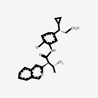 C[C@H]([C@H](C(=O)Nc1cc([C@@H](CC(=O)O)C2CC2)ccc1Cl)c1cc2ccccc2cn1)C(F)(F)F